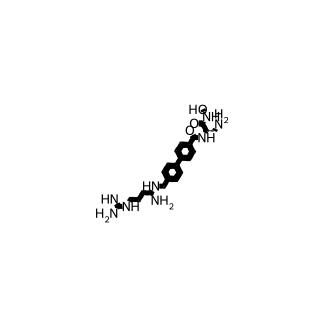 N=C(N)NCCC[C@H](N)NCc1ccc(-c2ccc(C(=O)N[C@@H](CN)C(=O)NO)cc2)cc1